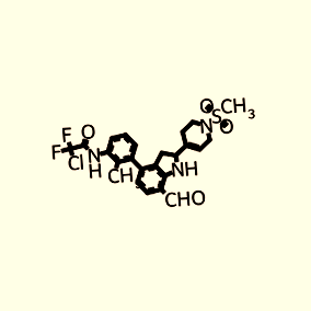 Cc1c(NC(=O)C(F)(F)Cl)cccc1-c1ccc(C=O)c2c1CC(C1=CCN(S(C)(=O)=O)CC1)N2